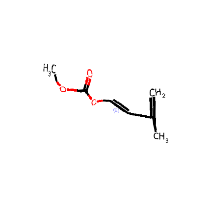 C=C(C)/C=C/OC(=O)OC